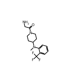 CN(c1ccccc1C(F)(F)F)C1CCN(C(=O)CN)CC1